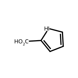 O=C(O)C1=CC=C[IH]1